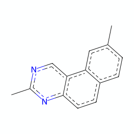 Cc1ccc2ccc3nc(C)ncc3c2c1